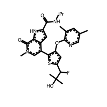 Cc1cnc(Oc2cc(C(F)C(C)(C)O)sc2-c2cn(C)c(=O)c3[nH]c(C(=O)NC(C)C)cc23)c(C)c1